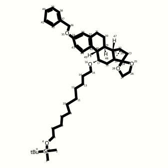 CC(C)(C)[Si](C)(C)OCCCCCCCCCCCO[C@H]1C[C@@]2(C)[C@@H](CCC23OCCO3)[C@@H]2CCc3cc(OCc4ccccc4)ccc3[C@H]21